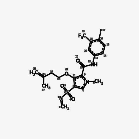 C=NS(=O)(=O)c1cn(C)c(C(=O)Nc2ccc(F)c(C(F)(F)F)c2)c1OCCC(=C)C